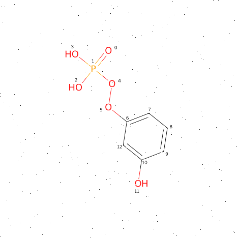 O=P(O)(O)OOc1cccc(O)c1